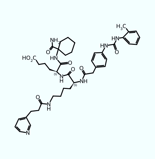 Cc1ccccc1NC(=O)Nc1ccc(CC(=O)N[C@@H](CCCCNC(=O)CCc2cccnc2)C(=O)N[C@@H](CCCC(=O)O)C(=O)NC2(C(N)=O)CCCCC2)cc1